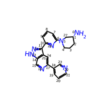 N[C@@H]1CCCN(c2cccc(-c3n[nH]c4cnc(-c5cccnc5)cc34)n2)C1